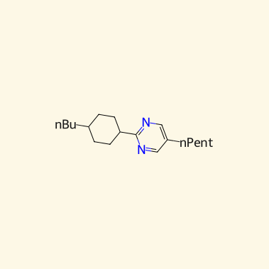 CCCCCc1cnc(C2CCC(CCCC)CC2)nc1